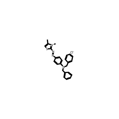 Cc1csc(/N=N/c2ccc(N(Cc3ccccc3)Cc3ccccc3)cc2)[n+]1C.[Cl-]